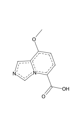 COc1ccc(C(=O)O)n2cncc12